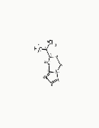 CC(C)C1CCn2ccnc2C1